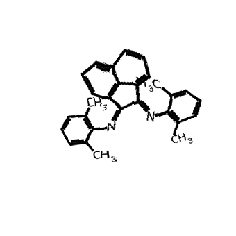 Cc1cccc(C)c1N=C1C(=Nc2c(C)cccc2C)c2cccc3cccc1c23